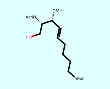 CCCCCCCCCCCCC/C=C/[C@@H](OC)[C@H](CO)NC(C)=O